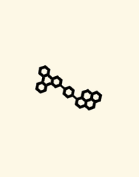 c1cc2ccc3ccc(-c4ccc(-c5ccc6c7ccccc7c7ccccc7c6c5)cc4)c4ccc(c1)c2c34